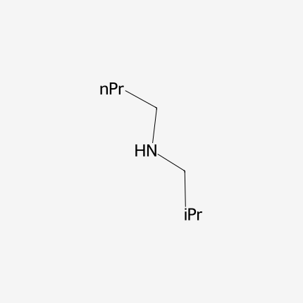 C[CH]CCNCC(C)C